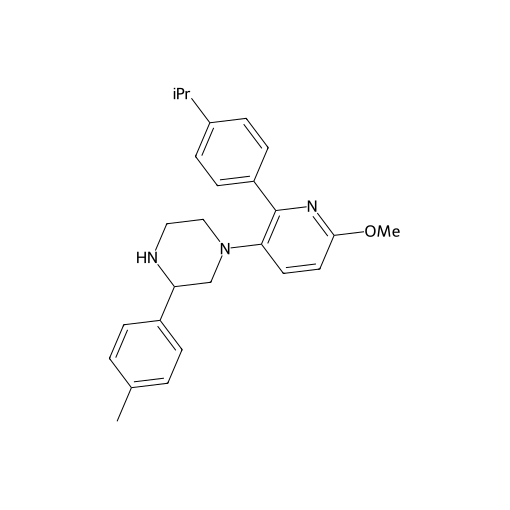 COc1ccc(N2CCNC(c3ccc(C)cc3)C2)c(-c2ccc(C(C)C)cc2)n1